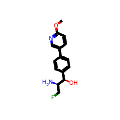 COc1ccc(-c2ccc([C@@H](O)[C@H](N)CF)cc2)cn1